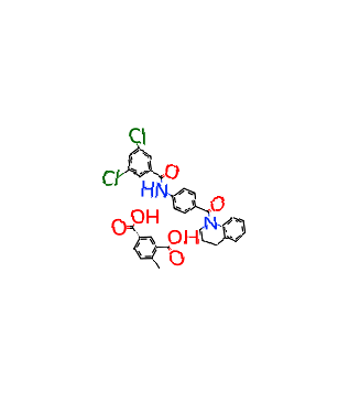 Cc1ccc(C(=O)O)cc1C(=O)O.O=C(Nc1ccc(C(=O)N2CCCc3ccccc32)cc1)c1cc(Cl)cc(Cl)c1